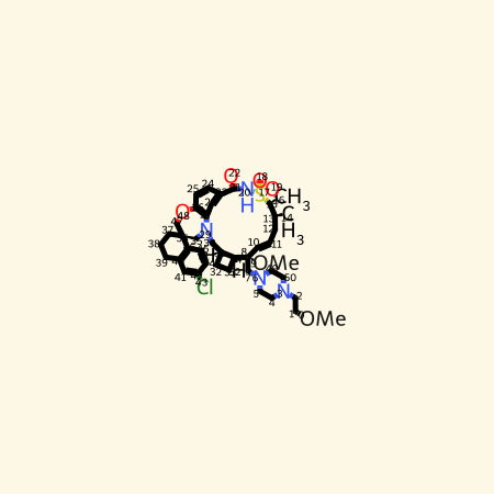 COCCN1CCN(C[C@]2(OC)/C=C/C[C@H](C)[C@@H](C)S(=O)(=O)NC(=O)c3ccc4c(c3)N(C[C@@H]3CC[C@H]32)C[C@@]2(CCCc3cc(Cl)ccc32)CO4)CC1